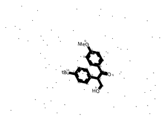 COc1ccc(C(=O)C(CO)c2ccc(C(C)(C)C)cc2)cc1